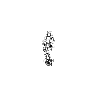 CC(C)(C)[C@H](NC(=O)c1cc2cc(C(F)(F)P(=O)(O)O)ccc2s1)C(=O)N1CCC[C@H]1C(=O)N1CCOC(c2ccccc2Cl)C1